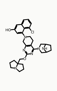 Oc1cc(N2CCc3c(nc(OCC45CCCN4CCC5)nc3N3CC4CCC(C3)N4)C2)c2c(Cl)cccc2c1